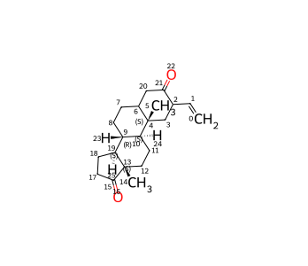 C=CC1C[C@@]2(C)C(CC[C@@H]3[C@@H]2CC[C@]2(C)C(=O)CC[C@@H]32)CC1=O